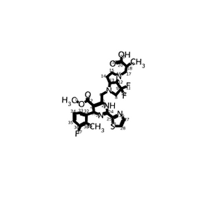 COC(=O)C1=C(CN2CC(F)(F)C3C2CCN3CC(C)C(=O)O)NC(c2nccs2)=NC1c1cccc(F)c1C